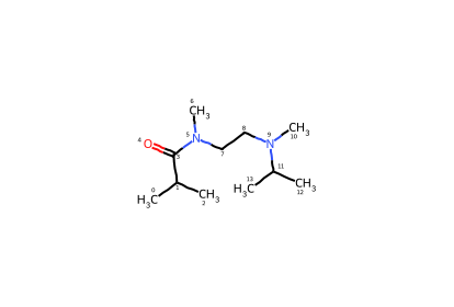 CC(C)C(=O)N(C)CCN(C)C(C)C